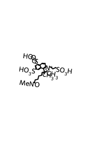 CNC(=O)CCCCCC1(C)C(C)=[N+](CCCS(=O)(=O)O)c2ccc3c(SOOO)cc(S(=O)(=O)O)cc3c21